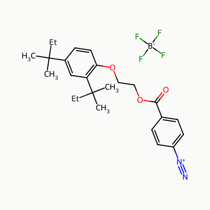 CCC(C)(C)c1ccc(OCCOC(=O)c2ccc([N+]#N)cc2)c(C(C)(C)CC)c1.F[B-](F)(F)F